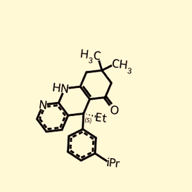 CC[C@@]1(c2cccc(C(C)C)c2)C2=C(CC(C)(C)CC2=O)Nc2ncccc21